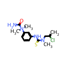 C=C(Cl)CN(C)C(=S)Nc1cccc([N+](C)(C)C(N)=O)c1